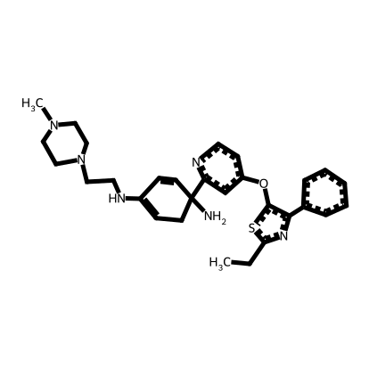 CCc1nc(-c2ccccc2)c(Oc2ccnc(C3(N)C=CC(NCCN4CCN(C)CC4)=CC3)c2)s1